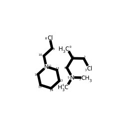 CC(CCl)CN(C)C.ClCCN1CCCCC1